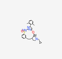 Cc1cccc(C)c1-c1cc2nc(n1)N[S+]([O-])c1cccc(c1)CCC1CCN(CC3CC3)C[C@@H]1CO2